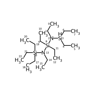 CCN([SiH](CC)CC)[Si](CC)(CC)N(CC)[Si](CC)(CC)CC